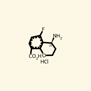 Cl.N[C@H]1CCOc2c(C(=O)O)ccc(F)c21